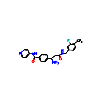 NC(CC(=O)NCc1ccc(C(F)(F)F)c(F)c1)c1ccc(C(=O)Nc2ccncc2)cc1